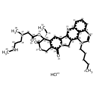 CCCCCN1C=Nc2cccc3nc4c(c1c23)Cn1c-4cc2c(c1=O)COC(=O)[C@@]2(CC)OC(=O)CN(C)CCNC.Cl